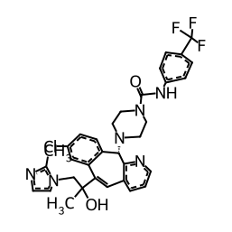 Cc1nccn1CC(C)(O)C1=Cc2cccnc2[C@@H](N2CCN(C(=O)Nc3ccc(C(F)(F)F)cc3)CC2)c2ccc(Cl)cc21